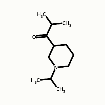 CC(C)C(=O)C1CCCN(C(C)C)C1